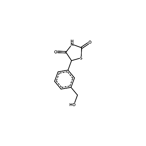 O=C1NC(=O)C(c2cccc(CO)c2)S1